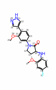 COc1cc(F)ccc1NC1CCN(c2ccc(-c3cn[nH]c3)c(OC)c2)C1=O